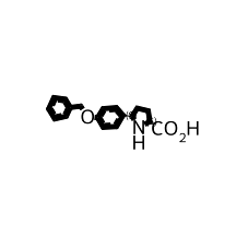 O=C(O)[C@@H]1CC[C@@H](c2ccc(OCc3ccccc3)cc2)N1